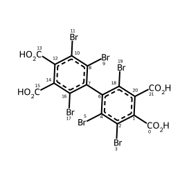 O=C(O)c1c(Br)c(Br)c(-c2c(Br)c(Br)c(C(=O)O)c(C(=O)O)c2Br)c(Br)c1C(=O)O